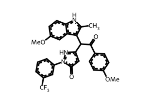 COc1ccc(C(=O)C(c2cc(=O)n(-c3cccc(C(F)(F)F)c3)[nH]2)c2c(C)[nH]c3ccc(OC)cc23)cc1